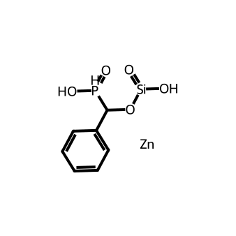 O=[Si](O)OC(c1ccccc1)[PH](=O)O.[Zn]